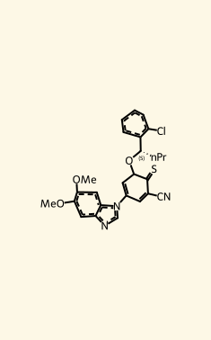 CCC[C@H](OC1C=C(n2cnc3cc(OC)c(OC)cc32)C=C(C#N)C1=S)c1ccccc1Cl